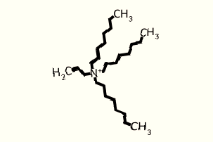 C=CC[N+](CCCCCCCC)(CCCCCCCC)CCCCCCCC